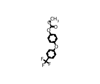 COC(=O)Oc1ccc(Oc2ccc(C(F)(F)F)cc2)cc1